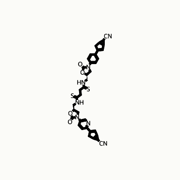 N#CC1C2C=C(c3ccc(N4C[C@H](CNC(=S)CCC(=S)NC[C@H]5CN(c6ccc(C7=CC8C(C#N)C8C7)nc6)C(=O)O5)OC4=O)cc3)CC12